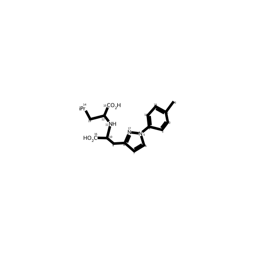 Cc1ccc(-n2ccc(CC(NC(CC(C)C)C(=O)O)C(=O)O)n2)cc1